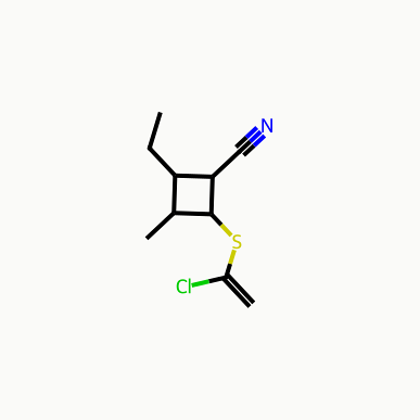 C=C(Cl)SC1C(C)C(CC)C1C#N